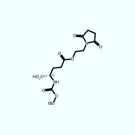 CC(C)(C)OC(=O)N[C@@H](CCC(=O)OCCN1C(=O)CCC1=O)C(=O)O